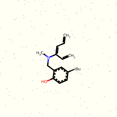 C=C/C=C(\C=C)N(C)Cc1cc(C(C)(C)C)ccc1O